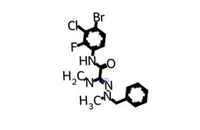 C=N/C(=N\N(C)Cc1ccccc1)C(=O)Nc1ccc(Br)c(Cl)c1F